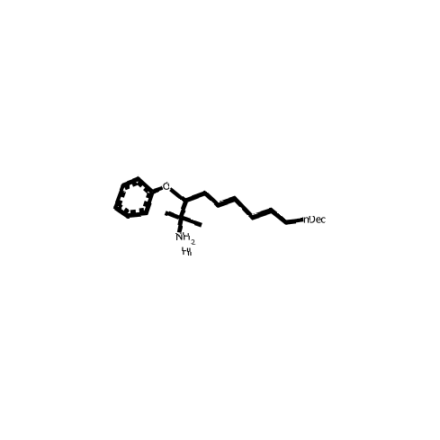 CCCCCCCCCCCCCCCCC(Oc1ccccc1)C(C)(C)N.I